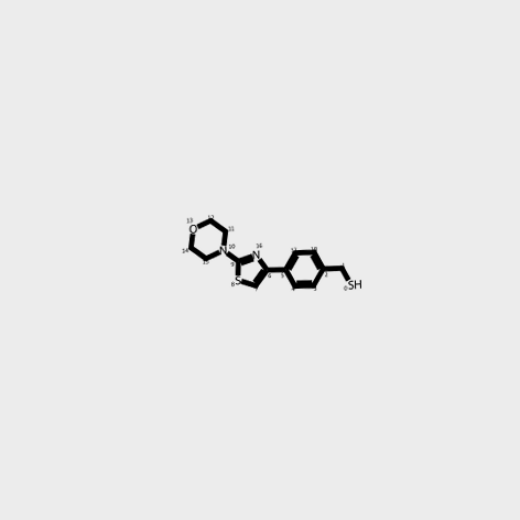 SCc1ccc(-c2csc(N3CCOCC3)n2)cc1